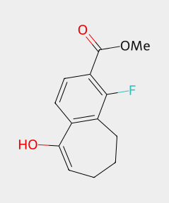 COC(=O)c1ccc2c(c1F)CCCC=C2O